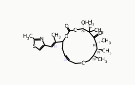 C/C(=C\c1csc(C)n1)C1C/C=C\CCC[C@H](C)[C@H](C)[C@@H](C)C(=O)C(C)(C)[C@@H](O)CC(=O)O1